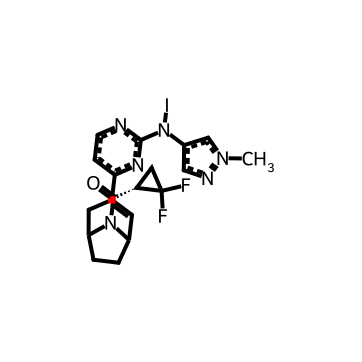 Cn1cc(N(I)c2nccc(C3=CC4CCC(C3)N4C(=O)[C@@H]3CC3(F)F)n2)cn1